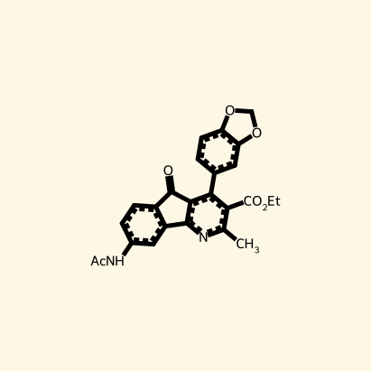 CCOC(=O)c1c(C)nc2c(c1-c1ccc3c(c1)OCO3)C(=O)c1ccc(NC(C)=O)cc1-2